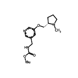 CN1CCC[C@H]1COc1cncc(CNC(=O)OC(C)(C)C)c1